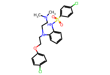 CN(C)CCN(CCOc1ccc(Cl)cc1)c1ccccc1NS(=O)(=O)c1ccc(Cl)cc1